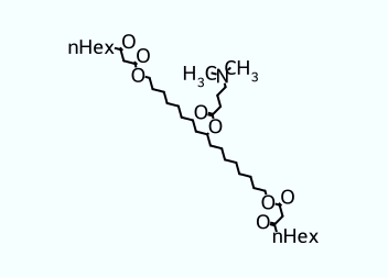 CCCCCCC(=O)CC(=O)OCCCCCCCCC(CCCCCCCCOC(=O)CC(=O)CCCCCC)OC(=O)CCCN(C)C